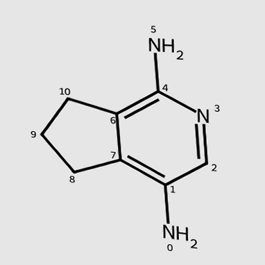 Nc1cnc(N)c2c1CCC2